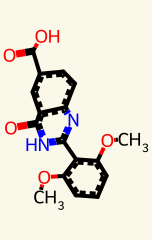 COc1cccc(OC)c1-c1nc2ccc(C(=O)O)cc2c(=O)[nH]1